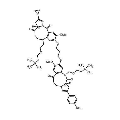 COc1cc2c(cc1OCCCOc1cc3c(cc1OC)C(=O)CCC1C=C(c4ccc(N)cc4)C[C@H]1C(=O)N3COCC[Si](C)(C)C)C(CCOCC[Si](C)(C)C)CCC(=O)[C@@H]1CC(C3CC3)=CN1C2=O